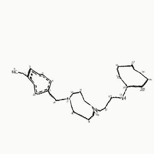 N#Cc1cccc(CN2CCN(CCNC3CCCCCC3)CC2)c1